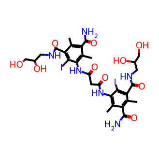 Cc1c(NC(=O)CC(=O)Nc2c(C)c(C(N)=O)c(C)c(C(=O)NCC(O)CO)c2I)c(I)c(C(=O)NCC(O)CO)c(C)c1C(N)=O